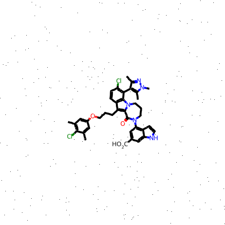 Cc1cc(OCCCc2c3n(c4c(-c5c(C)nn(C)c5C)c(Cl)ccc24)CCCN(c2cc(C(=O)O)cc4[nH]ccc24)C3=O)cc(C)c1Cl